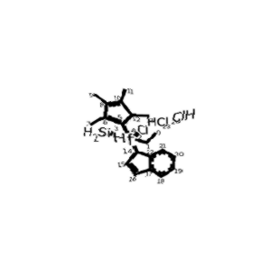 C[CH2][Hf](=[SiH2])([Cl])([C]1=C(C)C(C)=C(C)C1C)[CH]1C=Cc2ccccc21.Cl.Cl